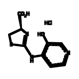 Cl.O=C(O)[C@@H]1CSC(Nc2ccncc2O)=N1